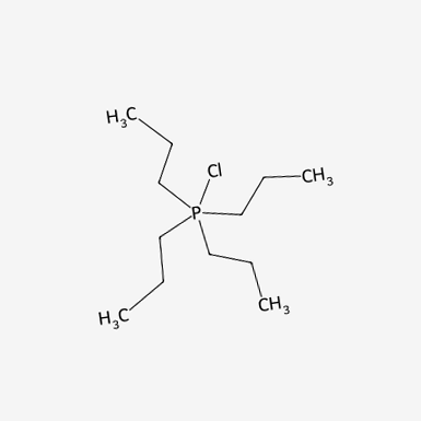 CCCP(Cl)(CCC)(CCC)CCC